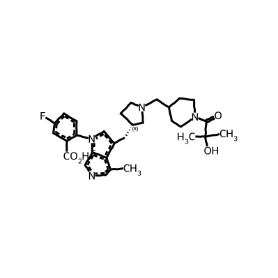 Cc1cncc2c1c(C[C@@H]1CCN(CC3CCN(C(=O)C(C)(C)O)CC3)C1)cn2-c1ccc(F)cc1C(=O)O